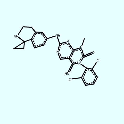 Cn1c(=O)n(-c2c(Cl)cccc2Cl)c(=N)c2cnc(Nc3ccc4c(c3)CCNC43CC3)nc21